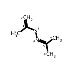 C=C(C)SN=C(C)C